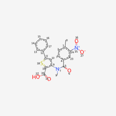 Cc1ccc(C(=O)N(C)c2cc(-c3ccccc3)sc2C(=O)O)cc1[N+](=O)[O-]